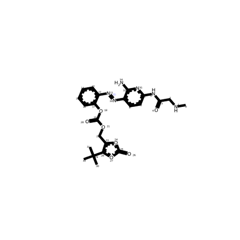 CNCC(=O)Nc1ccc(/N=N/c2ccccc2OC(=O)OCc2oc(=O)oc2C(C)(C)C)c(N)n1